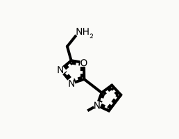 Cn1cccc1-c1nnc(CN)o1